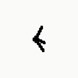 CCCCCCCCOP(=O)(CCCCCC)OCCCCCCCC